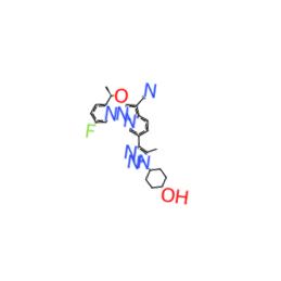 Cc1c(-c2ccc3c(C#N)c(O[C@H](C)c4ccc(F)cn4)nn3c2)nnn1C1CCC(O)CC1